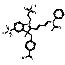 CC(=O)N(/C=C/C=C/C1=[N+](CCS(=O)(=O)O)c2ccc(S(=O)(=O)O)cc2C1(C)Cc1ccc(C(=O)O)cc1)c1ccccc1